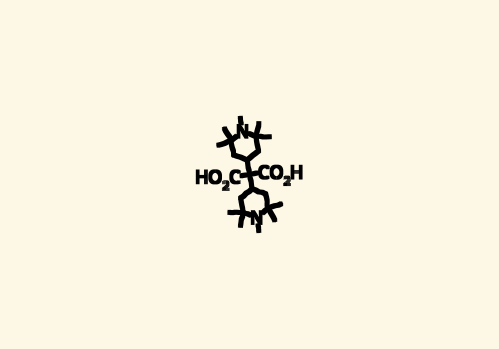 CN1C(C)(C)CC(C(C(=O)O)(C(=O)O)C2CC(C)(C)N(C)C(C)(C)C2)CC1(C)C